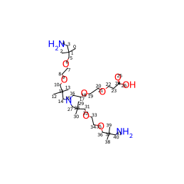 CC(C)(CN)COCCOCC(C)(C)CN(CCOCCOCCC(=O)O)CC(C)(C)COCCOCC(C)(C)CN